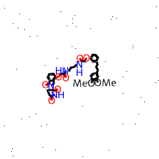 COc1ccc(CCCc2cccc(OCC(=O)NCCCCNC(=O)COc3cccc4c3CN(C3CCC(=O)NC3=O)C4=O)c2)cc1OC